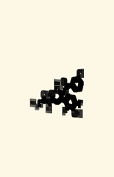 Cc1c(CC(=O)NC(C)C)c2c(F)c(O)c(F)cc2n1C(=O)c1cccc(Cl)c1